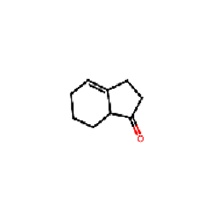 O=C1CCC2=CCCCC12